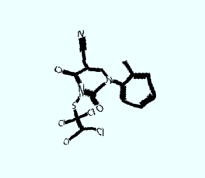 Cc1ccccc1-n1cc(C#N)c(=O)n(SC(Cl)(Cl)C(Cl)Cl)c1=O